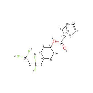 O=C(OC1CCC(CC(F)(F)CC(F)F)CC1)C1CC2C=CC1C2